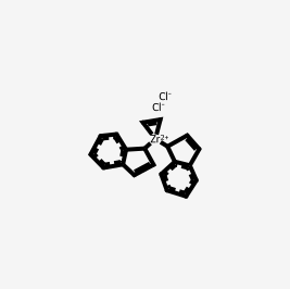 C1=C[CH]([Zr+2]2([CH]3C=Cc4ccccc43)[CH]=[CH]2)c2ccccc21.[Cl-].[Cl-]